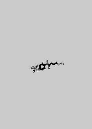 COCCCC(=O)Nc1ccc(OP(=O)(O)O)cc1